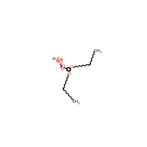 CCCCCCCC/C=C\CCCCCCCCOc1cc(OCCCCCCCC/C=C\CCCCCCCC)cc(C2OCC(COS(C)(=O)=O)O2)c1